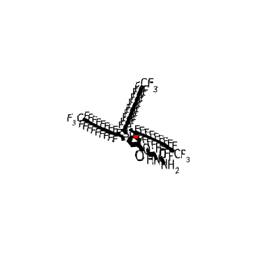 CC(C(F)(F)C(F)(F)C(F)(F)C(F)(F)C(F)(F)C(F)(F)C(F)(F)C(F)(F)C(F)(F)C(F)(F)F)[Si](c1ccc(C(=O)OCCNC(N)=O)cc1)(C(C)C(F)(F)C(F)(F)C(F)(F)C(F)(F)C(F)(F)C(F)(F)C(F)(F)C(F)(F)C(F)(F)C(F)(F)F)C(C)C(F)(F)C(F)(F)C(F)(F)C(F)(F)C(F)(F)C(F)(F)C(F)(F)C(F)(F)C(F)(F)C(F)(F)F